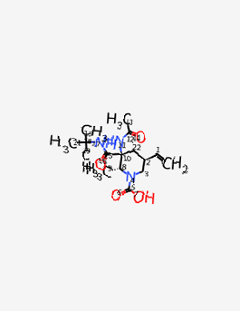 C=C[C@H]1CN(C(=O)O)[C@H](C)[C@](NC(C)=O)(C(=O)NC(C)(C)C)C1